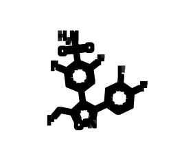 NS(=O)(=O)c1c(F)cc(-c2c(-c3ccc(F)c(F)c3)noc2CF)cc1F